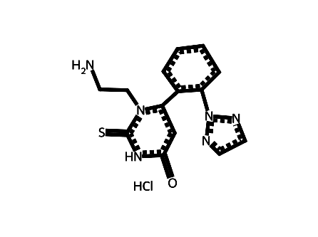 Cl.NCCn1c(-c2ccccc2-n2nccn2)cc(=O)[nH]c1=S